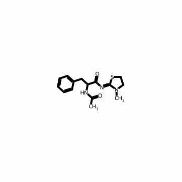 CC(=O)NC(Cc1ccccc1)C(=O)N=C1SCCN1C